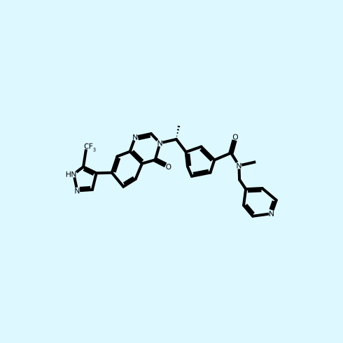 C[C@H](c1cccc(C(=O)N(C)Cc2ccncc2)c1)n1cnc2cc(-c3cn[nH]c3C(F)(F)F)ccc2c1=O